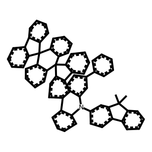 CC1(C)c2ccccc2-c2ccc(N(c3cccc(-c4ccccc4)c3)c3ccccc3-c3ccc4c(c3)-c3ccccc3C43c4ccccc4C4(c5ccccc5-c5ccccc54)c4ccccc43)cc21